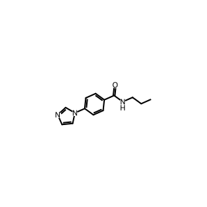 CCCNC(=O)c1ccc(-n2ccnc2)cc1